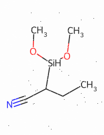 CCC(C#N)[SiH](OC)OC